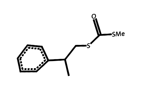 CSC(=O)SCC(C)c1ccccc1